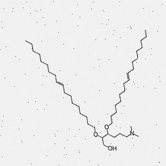 CCCCCCCCC=CCCCCCCCCOC(CO)C(CCCN(C)C)OCCCCCCCCC=CCCCCCCCC